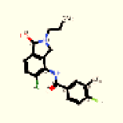 COCCN1Cc2c(ccc(Cl)c2NC(=O)c2ccc(F)c(C(F)(F)F)c2)C1O